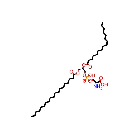 CCCCCC/C=C\CCCCCCCC(=O)O[C@H](COC(=O)CCCCCCCCCCCCCCCCCC)COP(=O)(O)OC[C@H](N)C(=O)O